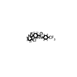 O=C(Nc1ccc(C(F)(F)F)cc1)C1=CCC(F)(c2ncccc2Cl)CC1